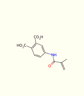 C=C(C)C(=O)Nc1ccc(C(=O)O)c(C(=O)O)c1